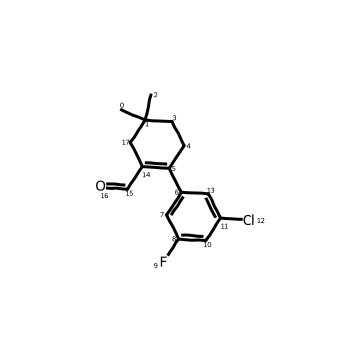 CC1(C)CCC(c2cc(F)cc(Cl)c2)=C(C=O)C1